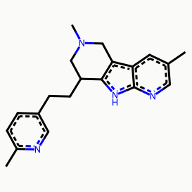 Cc1cnc2[nH]c3c(c2c1)CN(C)CC3CCc1ccc(C)nc1